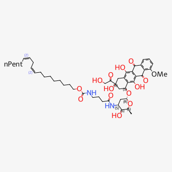 CCCCC/C=C\C/C=C\CCCCCCCCOC(=O)NCCCC(=O)N[C@H]1C[C@H](O[C@H]2C[C@](O)(C(=O)CO)Cc3c(O)c4c(c(O)c32)C(=O)c2c(OC)cccc2C4=O)O[C@@H](C)[C@H]1O